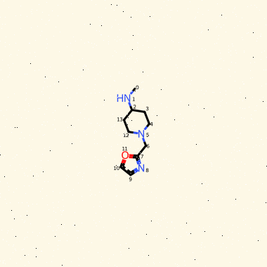 CNC1CCN(Cc2ncco2)CC1